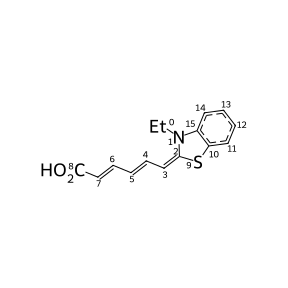 CCN1C(=CC=CC=CC(=O)O)Sc2ccccc21